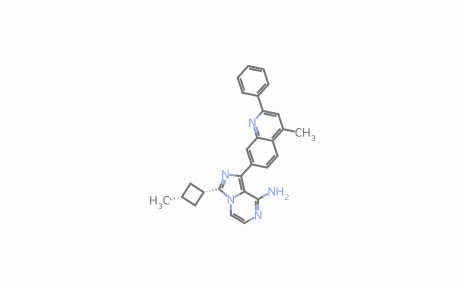 Cc1cc(-c2ccccc2)nc2cc(-c3nc([C@H]4C[C@@H](C)C4)n4ccnc(N)c34)ccc12